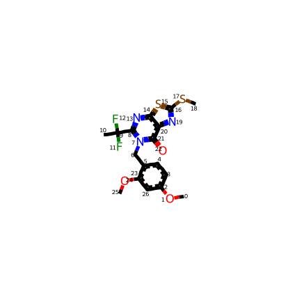 COc1ccc(Cn2c(C(C)(F)F)nc3sc(SC)nc3c2=O)c(OC)c1